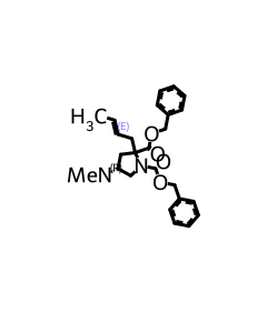 C/C=C/CC1(C(=O)OCc2ccccc2)C[C@@H](NC)CN1C(=O)OCc1ccccc1